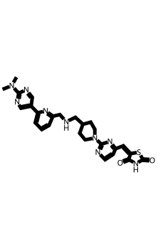 CN(C)c1ncc(-c2cccc(CNCC3CCN(c4nccc(C=C5SC(=O)NC5=O)n4)CC3)n2)cn1